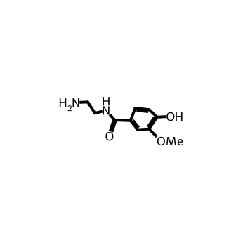 COc1cc(C(=O)NCCN)ccc1O